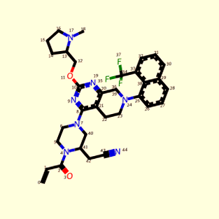 C=CC(=O)N1CCN(c2nc(OCC3CCCN3C)nc3c2CCN(c2cccc4cccc(C(F)(F)F)c24)C3)CC1CC#N